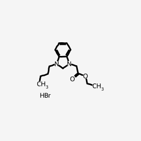 Br.CCCCN1CN(CC(=O)OCC)c2ccccc21